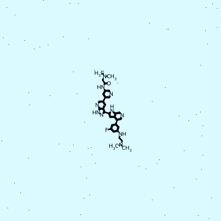 CN(C)CCNc1cc(F)cc(-c2cncc3[nH]c(-c4n[nH]c5ncc(-c6cncc(NC(=O)CN(C)C)c6)cc45)cc23)c1